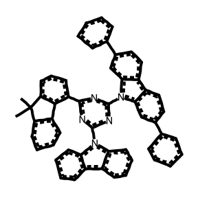 CC1(C)c2ccccc2-c2c(-c3nc(-n4c5ccccc5c5ccccc54)nc(-n4c5cc(-c6ccccc6)ccc5c5ccc(-c6ccccc6)cc54)n3)cccc21